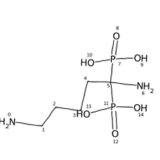 NCCCCC(N)(P(=O)(O)O)P(=O)(O)O